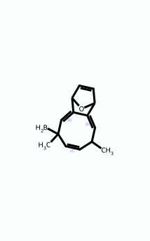 BC1(C)/C=C\C(C)/C=C2\C(=C/1)C1C=CC2O1